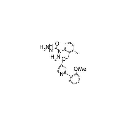 COc1ccccc1-c1cc(OCc2c(C)cccc2N(N)C(=O)NN)ccn1